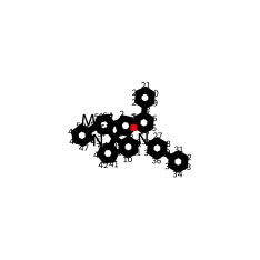 CSc1ccccc1C1(c2cccc(N(c3ccc(-c4ccccc4)cc3)c3ccc(-c4ccccc4)cc3)c2)c2ccccc2-n2c3ccccc3c3cccc1c32